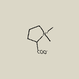 C[N+]1(C)CCCC1C(=O)[O-]